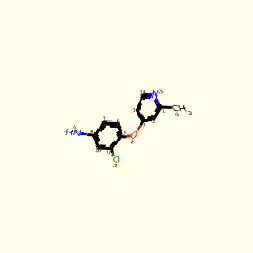 Cc1cc(Oc2ccc([NH])cc2Cl)ccn1